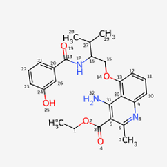 CCOC(=O)c1c(C)nc2cccc(OCC(NC(=O)c3cccc(O)c3)C(C)C)c2c1N